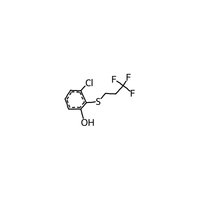 Oc1cccc(Cl)c1SCCC(F)(F)F